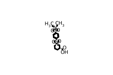 CCN(CC)S(=O)(=O)c1ccc(S(=O)(=O)N2CCC[C@@H](C(=O)O)C2)cc1